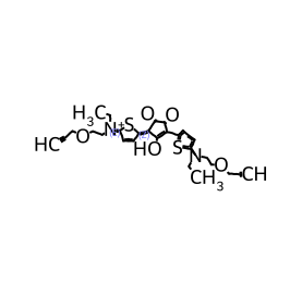 C#CCOCCN(CC)c1ccc(C2=C(O)/C(=C3C=C/C(=[N+](/CC)CCOCC#C)S\3)C(=O)C2=O)s1